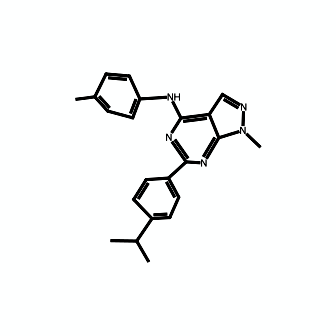 Cc1ccc(Nc2nc(-c3ccc(C(C)C)cc3)nc3c2cnn3C)cc1